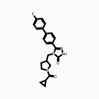 O=C(C1CC1)N1CCC(Cn2c(-c3ccc(-c4ccc(F)cc4)cc3)n[nH]c2=O)C1